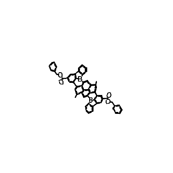 Cc1cc2c3c(cc4c(C)cc5c6c(cc1c3c46)B1c3ccccc3-c3cc(C(=O)OCc4ccccc4)cc-5c31)B1c3ccccc3-c3cc(C(=O)OCc4ccccc4)cc-2c31